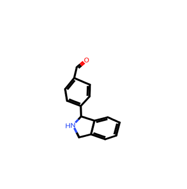 O=Cc1ccc(C2NCc3ccccc32)cc1